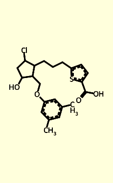 Cc1cc(C)cc(OCC2C(O)CC(Cl)C2CCCc2ccc(C(=O)O)s2)c1